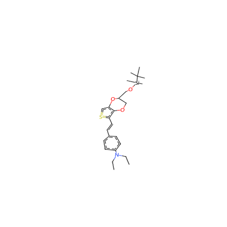 CCN(CC)c1ccc(C=Cc2scc3c2OCC(CO[Si](C)(C)C(C)(C)C)O3)cc1